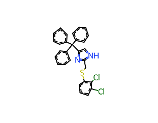 Clc1cccc(SCc2nc(C(c3ccccc3)(c3ccccc3)c3ccccc3)c[nH]2)c1Cl